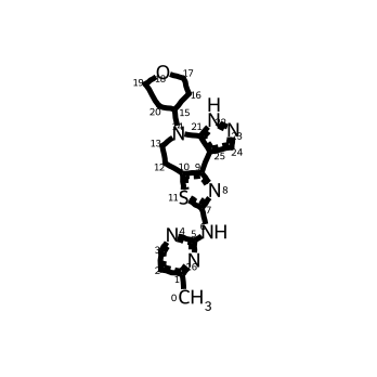 Cc1ccnc(Nc2nc3c(s2)CCN(C2CCOCC2)c2[nH]ncc2-3)n1